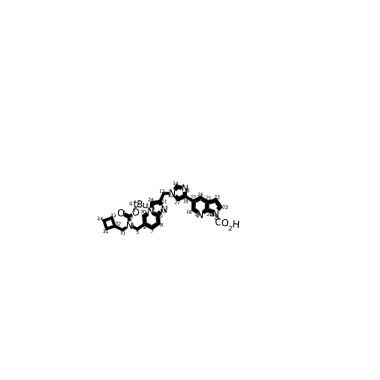 CC(C)(C)OC(=O)N(Cc1ccc2nc(Cn3cnc(-c4cnc5c(ccn5C(=O)O)c4)c3)cn2c1)CC1CCC1